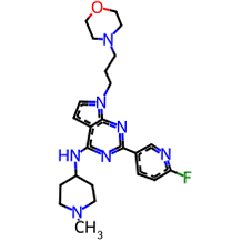 CN1CCC(Nc2nc(-c3ccc(F)nc3)nc3c2ccn3CCCN2CCOCC2)CC1